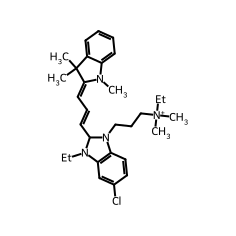 CCN1c2cc(Cl)ccc2N(CCC[N+](C)(C)CC)C1C=CC=C1N(C)c2ccccc2C1(C)C